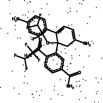 NC(=O)c1ccc(C(N)=O)c(C2(OC(F)(F)C(F)F)CC(N)=CC=C2c2ccc(N)cc2OC(F)(F)C(F)F)c1